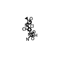 N#Cc1nn(-c2cc(Cl)c(-n3ncc4c3ccc(=O)n4C3CC3)c(Cl)c2)c(=O)[nH]c1=O